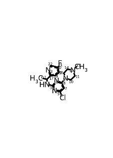 CC(Nc1nc(Cl)cc(N2CCN(C)CC2)n1)c1ccc(F)cn1